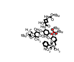 CN(C(=O)OC(C)(C)C)[C@@H]1[C@@H](O)[C@@H](O[C@@H]2[C@@H](O)[C@H](O[C@H]3OC(CN(C)S(=O)(=O)c4ccccc4[N+](=O)[O-])=CC[C@H]3NC(=O)OC(C)(C)C)[C@@H](NC(=O)OC(C)(C)C)C[C@H]2NC(=O)C2(O)CC(NC(=O)OC(C)(C)C)C2)OC[C@]1(C)O